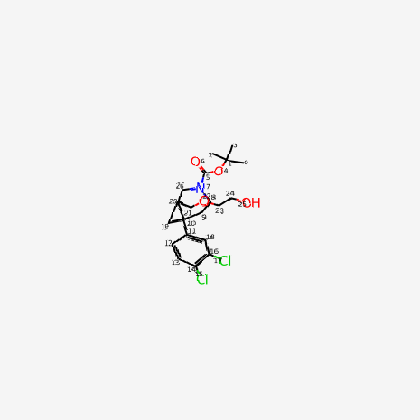 CC(C)(C)OC(=O)N1CCC2(c3ccc(Cl)c(Cl)c3)CC2(COCCO)C1